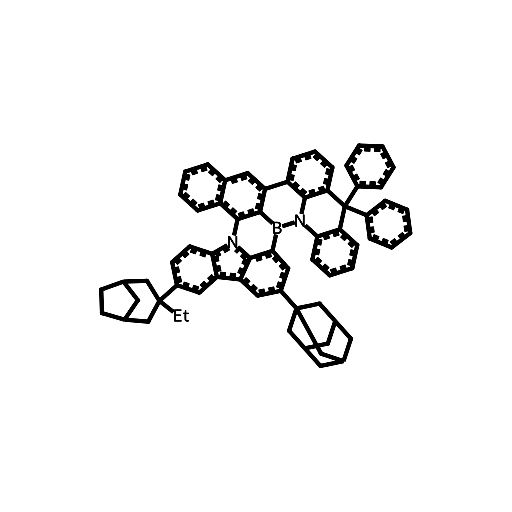 CCC1(c2ccc3c(c2)c2cc(C45CC6CC(CC(C6)C4)C5)cc4c2n3-c2c3c(cc5ccccc25)-c2cccc5c2N(B34)c2ccccc2C5(c2ccccc2)c2ccccc2)CC2CCC(C2)C1